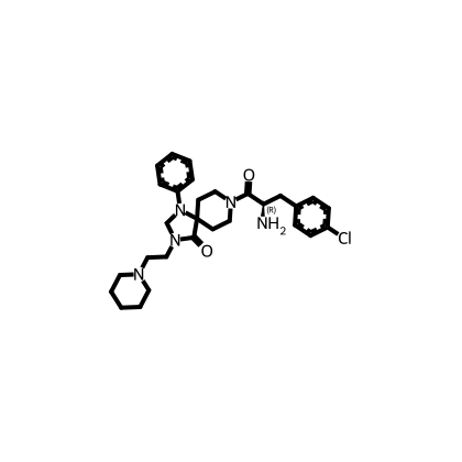 N[C@H](Cc1ccc(Cl)cc1)C(=O)N1CCC2(CC1)C(=O)N(CCN1CCCCC1)CN2c1ccccc1